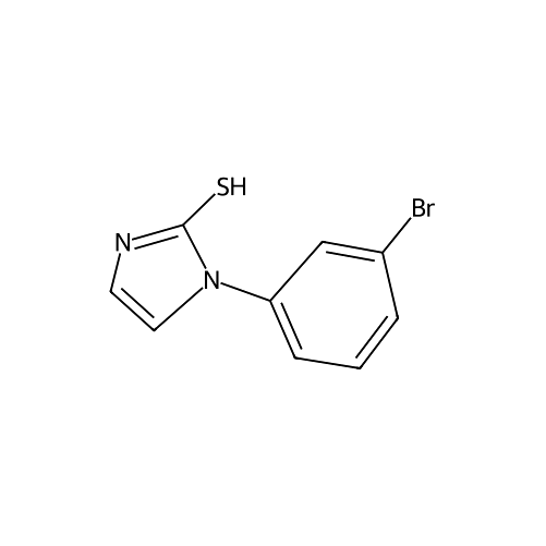 Sc1nccn1-c1cccc(Br)c1